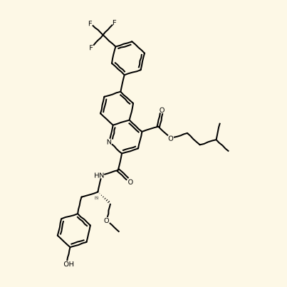 COC[C@H](Cc1ccc(O)cc1)NC(=O)c1cc(C(=O)OCCC(C)C)c2cc(-c3cccc(C(F)(F)F)c3)ccc2n1